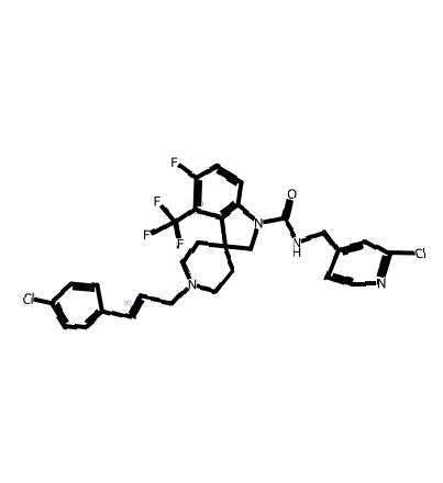 O=C(NCc1ccnc(Cl)c1)N1CC2(CCN(C/C=C/c3ccc(Cl)cc3)CC2)c2c1ccc(F)c2C(F)(F)F